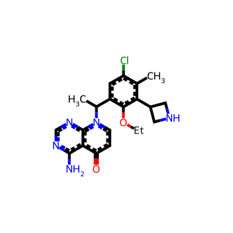 CCOc1c(C(C)n2ccc(=O)c3c(N)ncnc32)cc(Cl)c(C)c1C1CNC1